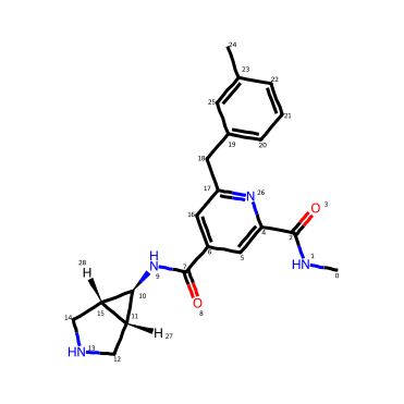 CNC(=O)c1cc(C(=O)N[C@H]2[C@@H]3CNC[C@@H]32)cc(Cc2cccc(C)c2)n1